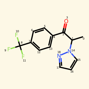 CC(C(=O)c1ccc(C(F)(F)F)cc1)n1cccn1